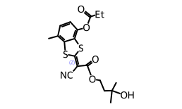 CCC(=O)Oc1ccc(C)c2c1S/C(=C(/C#N)C(=O)OCCC(C)(C)O)S2